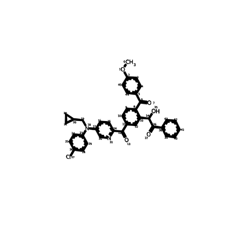 COc1ccc(C(=O)c2ccc(C(=O)c3ccc(N(CC4CC4)c4ccc(Cl)cc4)cn3)cc2C(O)C(=O)c2ccccc2)cc1